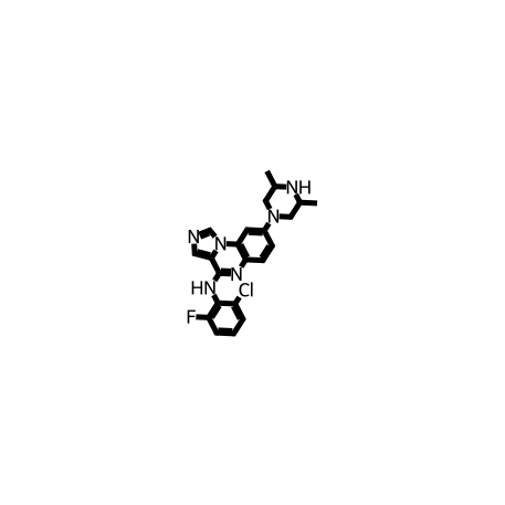 CC1CN(c2ccc3nc(Nc4c(F)cccc4Cl)c4cncn4c3c2)CC(C)N1